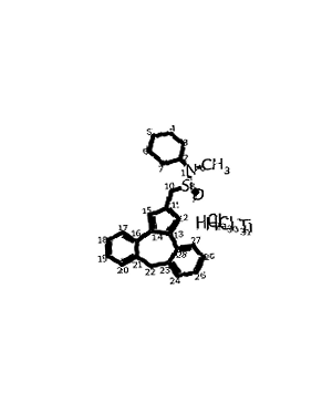 CN(C1CCCCC1)[Si](=O)CC1C=C2C(=C1)c1ccccc1Cc1ccccc12.Cl.Cl.[Ti]